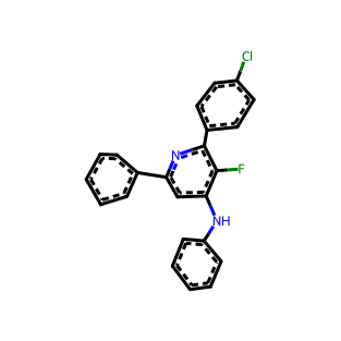 Fc1c(Nc2ccccc2)cc(-c2ccccc2)nc1-c1ccc(Cl)cc1